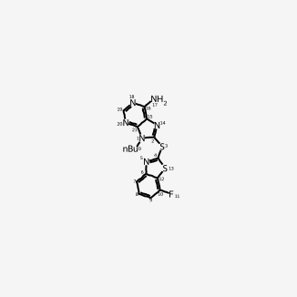 CCCCn1c(Sc2nc3cccc(F)c3s2)nc2c(N)ncnc21